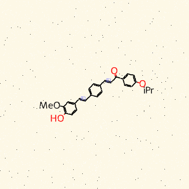 COc1cc(/C=C/c2ccc(/C=C/C(=O)c3ccc(OC(C)C)cc3)cc2)ccc1O